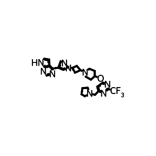 FC(F)(F)c1nc(CN2CCCC2)cc(OC2CCN(C3C[C](n4cc(-c5ncnc6[nH]ccc56)cn4)C3)CC2)n1